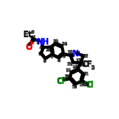 CCC(=O)NC1CCc2cc(C3=NCC(c4cc(Cl)cc(Cl)c4)(C(F)(F)F)C3)ccc21